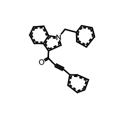 O=C(C#Cc1ccccc1)c1cn(Cc2ccccc2)c2ccccc12